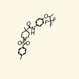 Cc1ccc(S(=O)(=O)N2CCC(C)(C(=O)Nc3ccc(OC(C)C(F)(F)F)cc3)CC2)cc1